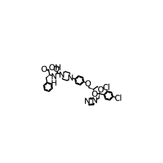 O=C(O)[C@H](Cc1ccccc1)NC(=O)N1CCN(c2ccc(OC[C@H]3CO[C@](Cn4ccnc4)(c4ccc(Cl)cc4Cl)O3)cc2)CC1